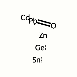 [Cd].[Ge].[O]=[Pb].[Sn].[Zn]